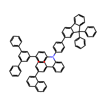 c1ccc(-c2cc(-c3ccccc3)cc(-c3ccc(N(c4ccc(-c5ccc6c(c5)C(c5ccccc5)(c5ccccc5)c5ccccc5-6)cc4)c4ccccc4-c4cccc(-c5cccc6ccccc56)c4)cc3)c2)cc1